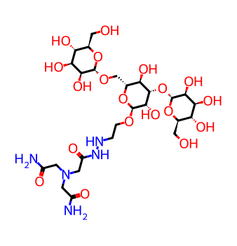 NC(=O)CN(CC(N)=O)CC(=O)NNCCO[C@H]1O[C@H](CO[C@H]2O[C@H](CO)[C@@H](O)[C@H](O)[C@@H]2O)[C@@H](O)[C@H](O[C@H]2O[C@H](CO)[C@@H](O)[C@H](O)[C@@H]2O)[C@@H]1O